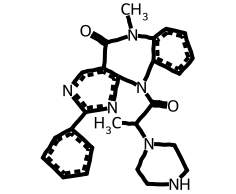 CC(C(=O)N1c2ccccc2N(C)C(=O)c2cnc(-c3ccccc3)nc21)N1CCNCC1